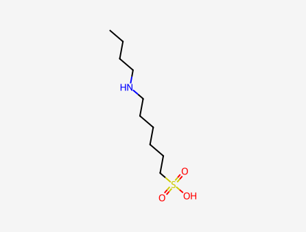 CCCCNCCCCCCS(=O)(=O)O